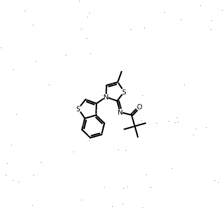 Cc1cn(-c2csc3ccccc23)c(=NC(=O)C(C)(C)C)s1